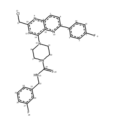 Fc1ccc(-c2ccc3nc(CCl)nc(N4CCN(C(=S)NCc5cccc(F)c5)CC4)c3n2)cc1